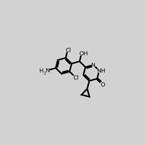 Nc1cc(Cl)c(C(O)c2cc(C3CC3)c(=O)[nH]n2)c(Cl)c1